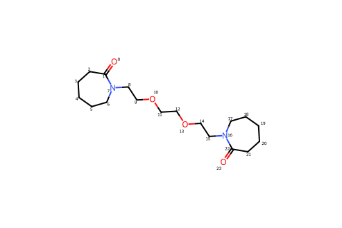 O=C1CCCCCN1CCOCCOCCN1CCCCCC1=O